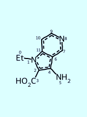 CCn1c(C(=O)O)c(N)c2cnccc21